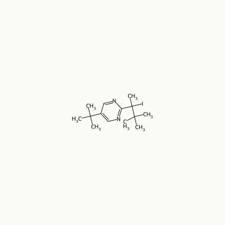 CC(C)(C)c1cnc(C(C)(I)C(C)(C)C)nc1